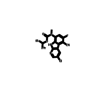 CCCC(OC(=O)N(C)c1cc(F)c(C#N)c2c1[nH]c1ncc(Cl)cc12)C(C)(C)C